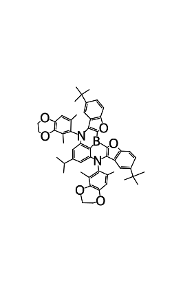 Cc1cc2c(c(C)c1N1c3cc(C(C)C)cc4c3B(c3oc5ccc(C(C)(C)C)cc5c31)c1oc3ccc(C(C)(C)C)cc3c1N4c1c(C)cc3c(c1C)OCCO3)OCCO2